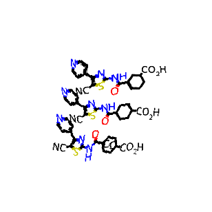 N#Cc1sc(NC(=O)C23CCC(C(=O)O)(CC2)CC3)nc1-c1ccncc1.N#Cc1sc(NC(=O)C2CCC(C(=O)O)CC2)nc1-c1ccncc1.N#Cc1sc(NC(=O)C2CCCC(C(=O)O)C2)nc1-c1ccncc1